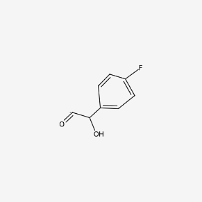 O=[C]C(O)c1ccc(F)cc1